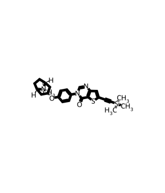 CN1[C@@H]2CC[C@H]1C[C@H](Oc1ccc(-n3cnc4cc(C#C[Si](C)(C)C)sc4c3=O)cc1)C2